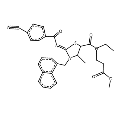 CCN(CCC(=O)OC)C(=O)C1SC(=NC(=O)c2ccc(C#N)cc2)N(Cc2cccc3ccccc23)C1C